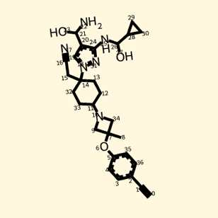 C#Cc1ccc(OC2(C)CN(C3CCC(CC#N)(n4cc(C(N)O)c(NC(O)C5CC5)n4)CC3)C2)cc1